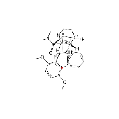 COc1ccc(OC)c(CN[C@H]2[C@@H]3CCN([C@H]2C)[C@@](C(=O)N(C)C)(c2ccccc2)C3c2ccccc2)c1